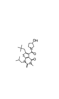 C=C1N(C)C(=O)c2c(sc(CC(C)(C)C)c2C(=O)N2CCC(O)C2)N1CC(C)C